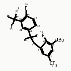 CC(C)(C)c1cc(C(F)(F)F)cc(CC(C)(C)c2ccc(F)c(C(C)(F)F)c2)c1F